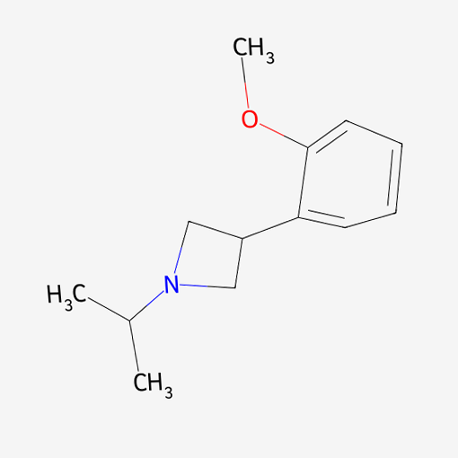 COc1ccccc1C1CN(C(C)C)C1